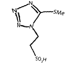 [CH2]Sc1nnnn1CCS(=O)(=O)O